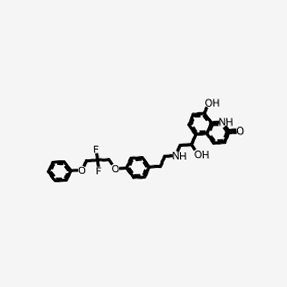 O=c1ccc2c(C(O)CNCCc3ccc(OCC(F)(F)COc4ccccc4)cc3)ccc(O)c2[nH]1